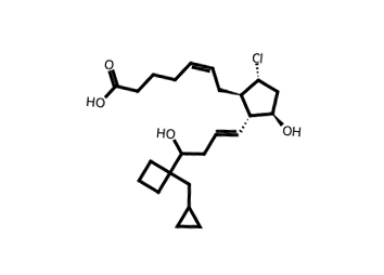 O=C(O)CCC/C=C\C[C@@H]1[C@@H](/C=C/CC(O)C2(CC3CC3)CCC2)[C@H](O)C[C@H]1Cl